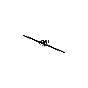 CCCCCCCCCCCCCCCCCCCCOC(=O)C(CC(=O)OCCCCCCCCCCCCCCCCCC)S(=O)(=O)O